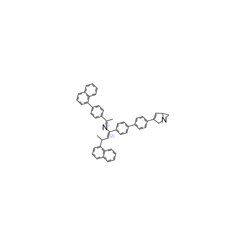 C/C(=N\C(=C/C(C)c1cccc2ccccc12)c1ccc(-c2ccc(C3=CC4CN4C3)cc2)cc1)c1ccc(-c2cccc3ccccc23)cc1